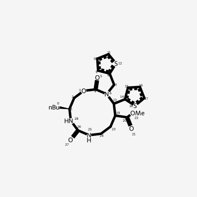 CCCC[C@H]1COC(=O)N(Cc2cccs2)C(c2cccs2)C(C(=O)OC)CCNC(=O)N1